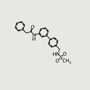 CS(=O)(=O)NCc1ccc(-c2cccc(NC(=O)Cc3ccccc3)c2)cc1